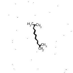 C=C(C)CCCCC=CCC(C)C